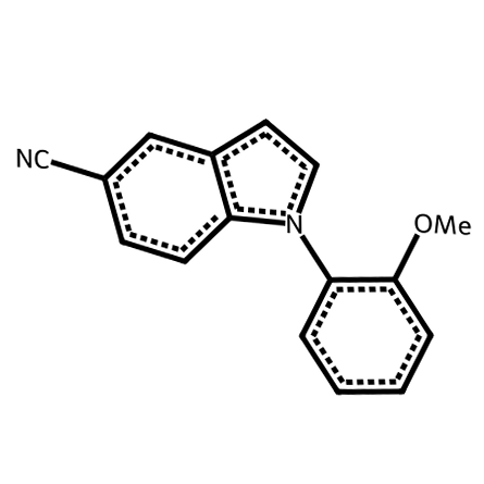 COc1ccccc1-n1ccc2cc(C#N)ccc21